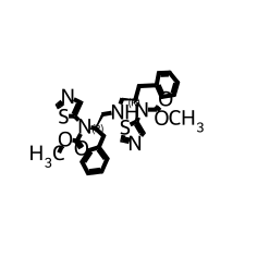 COC(=O)N(c1cncs1)[C@@H](CNC[C@@H](Cc1ccccc1)N(C(=O)OC)c1cncs1)Cc1ccccc1